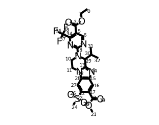 CCOC(=O)c1cnc(N2CCn3c(nc4cc(C(=O)OC)c(S(C)(=O)=O)cc43)C2C(C)C)nc1C(F)(F)F